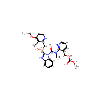 Cc1c(OCC(F)(F)F)ccnc1C[S@@+]([O-])c1nc2ccccc2n1C(=O)N(C)c1ncccc1COC(=O)OC(C)(C)C